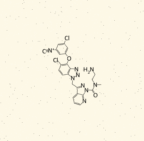 [C-]#[N+]c1cc(Cl)cc(Oc2c(Cl)ccc3c2nnn3Cc2nn(C(=O)N(C)CCN)c3ncccc23)c1